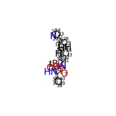 CC(C)(C)OC(=O)NC(C(=O)ON=C1C=C2CC[C@H]3[C@H](CC[C@]4(C)C(c5cccnc5)=CC[C@@H]34)[C@@]2(C)CC1)c1ccccc1